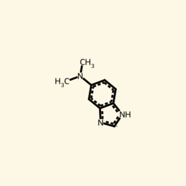 CN(C)c1ccc2[nH][c]nc2c1